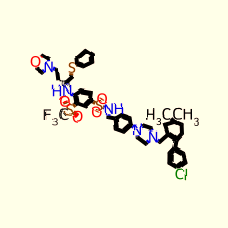 CC1(C)CCC(c2ccc(Cl)cc2)=C(CN2CCN(c3ccc(CNS(=O)(=O)c4ccc(N[C@H](CCN5CCOCC5)CSc5ccccc5)c(S(=O)(=O)C(F)(F)F)c4)cc3)CC2)C1